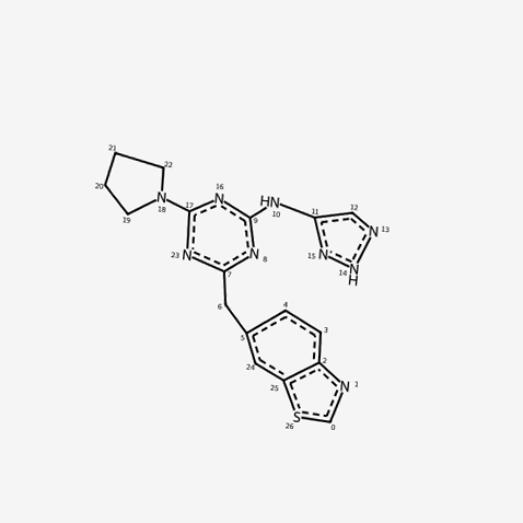 c1nc2ccc(Cc3nc(Nc4cn[nH]n4)nc(N4CCCC4)n3)cc2s1